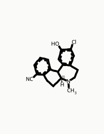 CN1CCc2cc(Cl)c(O)cc2C2c3cccc(C#N)c3CC[C@@H]21